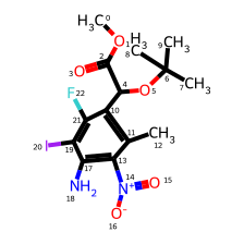 COC(=O)C(OC(C)(C)C)c1c(C)c([N+](=O)[O-])c(N)c(I)c1F